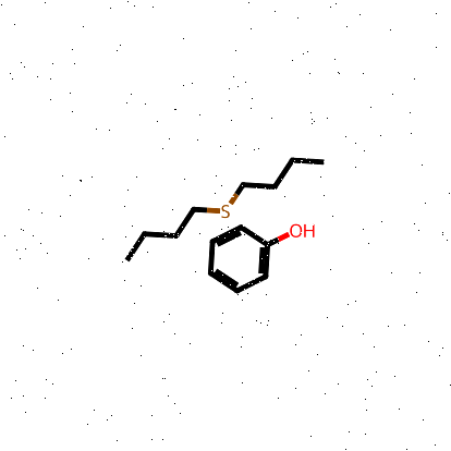 CCCCSCCCC.Oc1ccccc1